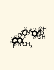 Cc1cc(OC2CCN(Cc3ccc(O)c(C(=O)O)c3)CC2)c2cccc(F)c2n1